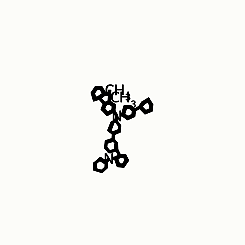 CC1(C)c2ccccc2-c2ccc(N(c3ccc(-c4ccccc4)cc3)C3C=CC(C4=CCC5C(=C4)c4ccccc4N5C4=CC=CCC4)=CC3)cc21